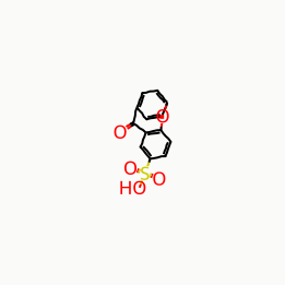 O=C1c2ccc(cc2)Oc2ccc(S(=O)(=O)O)cc21